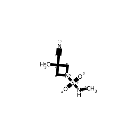 CNS(=O)(=O)N1CC(C)(C#N)C1